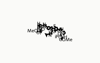 COC(=O)NC(C(=O)N1[C@@H]2C[C@@H]2C[C@H]1c1ncc(-c2ccc3c(c2)cc2n3C(c3cnc(C4CC4)s3)Oc3cc(-c4cnc([C@@H]5CCCN5C(=O)[C@@H](NC(=O)OC)C(C)C)[nH]4)cc(F)c3-2)[nH]1)C(C)(C)F